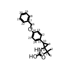 CC(C)(C)C1(NC(=O)O)CC1c1ccc(OCc2ccccc2)cc1